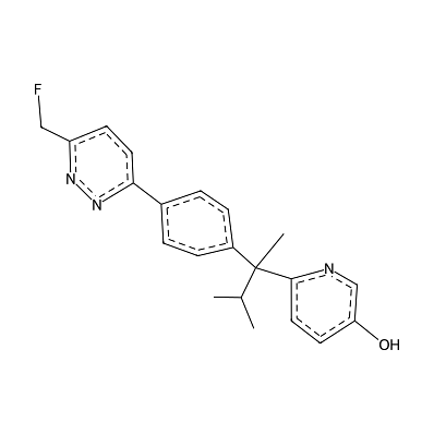 CC(C)C(C)(c1ccc(-c2ccc(CF)nn2)cc1)c1ccc(O)cn1